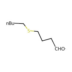 CCCCCSCCC[C]=O